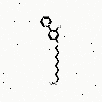 CCCCCCCCCCCCCCCCCCSc1ccc(-c2ccccc2)c(CC)c1